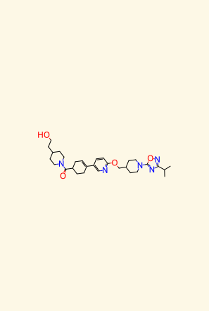 CC(C)c1noc(N2CCC(COc3ccc(C4=CCC(C(=O)N5CCC(CCO)CC5)CC4)cn3)CC2)n1